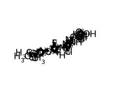 CC(C)(C)OC(=O)N1CCC(COc2cc(F)c(CNc3nc4nc(O[C@@H]5CO[C@H]6[C@@H]5OC[C@H]6O)[nH]c4cc3Cl)c(F)c2)CC1